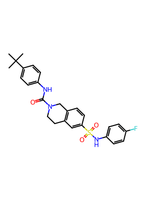 CC(C)(C)c1ccc(NC(=O)N2CCc3cc(S(=O)(=O)Nc4ccc(F)cc4)ccc3C2)cc1